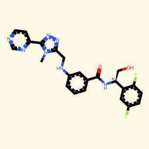 Cn1c(CNc2cccc(C(=O)N[C@@H](CO)c3cc(F)ccc3F)c2)nnc1-c1ccncn1